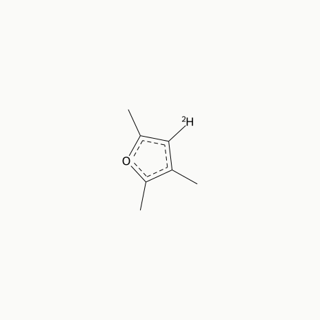 [2H]c1c(C)oc(C)c1C